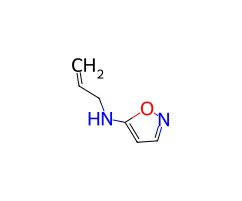 C=CCNc1ccno1